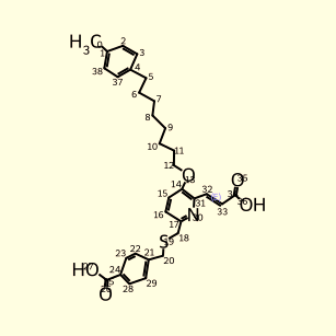 Cc1ccc(CCCCCCCCOc2ccc(CSCc3ccc(C(=O)O)cc3)nc2/C=C/C(=O)O)cc1